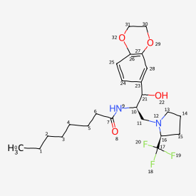 CCCCCCCC(=O)N[C@H](CN1CCC[C@H]1C(F)(F)F)C(O)c1ccc2c(c1)OCCO2